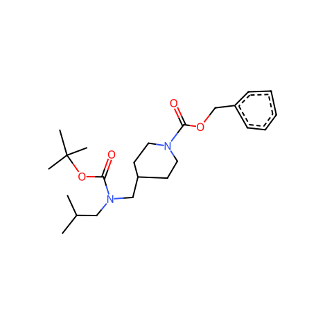 CC(C)CN(CC1CCN(C(=O)OCc2ccccc2)CC1)C(=O)OC(C)(C)C